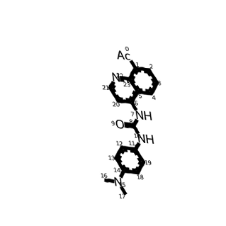 CC(=O)c1cccc2c(NC(=O)Nc3ccc(N(C)C)cc3)ccnc12